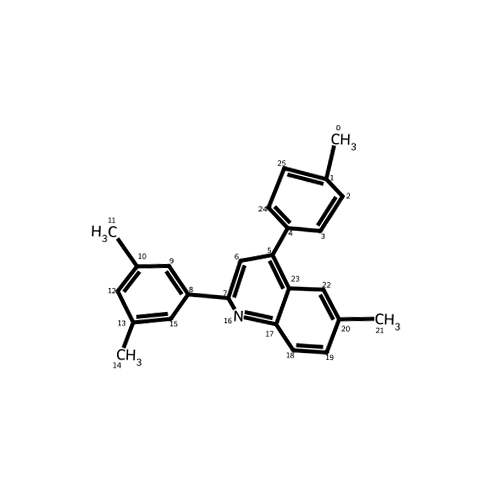 Cc1ccc(-c2cc(-c3cc(C)cc(C)c3)nc3ccc(C)cc23)cc1